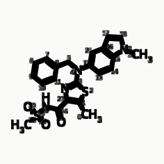 Cc1sc(N(Cc2ccccc2)c2ccc3c(ccn3C)c2)nc1C(=O)NS(C)(=O)=O